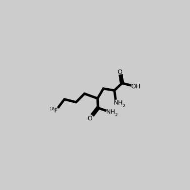 NC(=O)C(CCC[18F])CC(N)C(=O)O